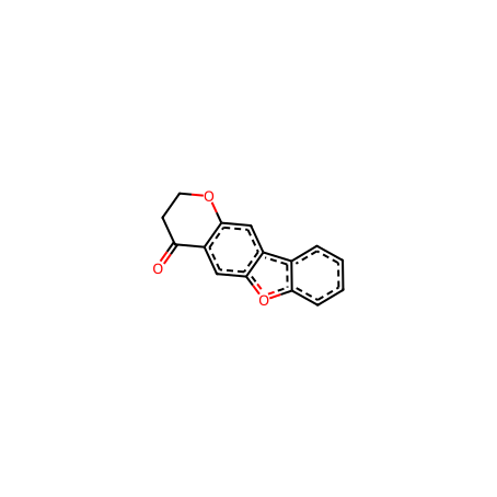 O=C1CCOc2cc3c(cc21)oc1ccccc13